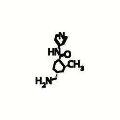 C[C@@H]1C[C@H](CN)CC[C@H]1C(=O)Nc1ccncc1